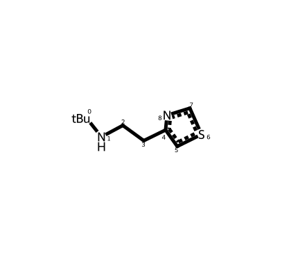 CC(C)(C)NCCc1cscn1